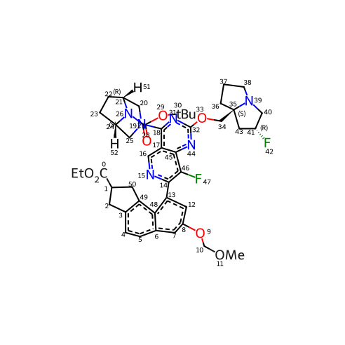 CCOC(=O)C1Cc2ccc3cc(OCOC)cc(-c4ncc5c(N6C[C@H]7CC[C@@H](C6)N7C(=O)OC(C)(C)C)nc(OC[C@@]67CCCN6C[C@H](F)C7)nc5c4F)c3c2C1